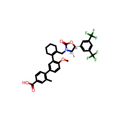 COc1ccc(-c2ccc(C(=O)O)cc2C)cc1C1=C(CN2C(=O)O[C@H](c3cc(C(F)(F)F)cc(C(F)(F)F)c3)[C@@H]2C)CCCC1